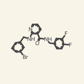 O=C(NCc1ccc(F)c(F)c1)c1cccnc1NCc1cccc(Br)c1